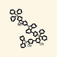 N#Cc1cc(-c2ccc(-n3c4ccccc4c4ccccc43)c(C#N)c2)cc([Si](c2ccccc2)(c2ccccc2)c2ccc(-c3cccc4c3c3ccccc3n4-c3ccc(-c4ccc([Si](c5ccccc5)(c5ccccc5)c5ccccc5)cc4C#N)c(C#N)c3)cc2)c1